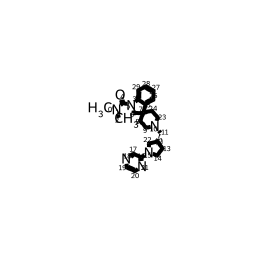 CN(C)C(=O)N1CC2(CCN(C[C@@H]3CCN(c4cnccn4)C3)CC2)c2ccccc21